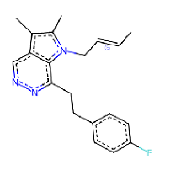 C/C=C/Cn1c(C)c(C)c2cnnc(CCc3ccc(F)cc3)c21